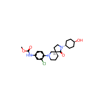 COC(=O)Nc1ccc(N2CCC[C@]3(CCN([C@H]4CC[C@H](O)CC4)C3=O)C2)c(Cl)c1